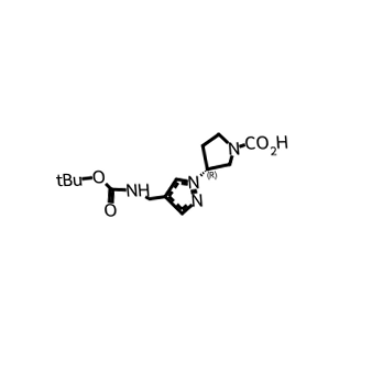 CC(C)(C)OC(=O)NCc1cnn([C@@H]2CCN(C(=O)O)C2)c1